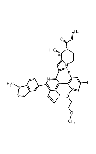 C=CC(=O)N1CCn2nc(-c3nc(-c4ccc5c(cnn5C)c4)c4ccsc4c3-c3c(F)cc(F)cc3OCCOC)cc2[C@H]1C